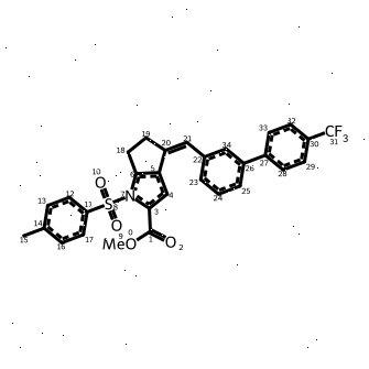 COC(=O)c1cc2c(n1S(=O)(=O)c1ccc(C)cc1)CCC2=Cc1cccc(-c2ccc(C(F)(F)F)cc2)c1